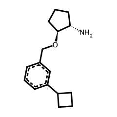 N[C@H]1CCC[C@@H]1OCc1cccc(C2CCC2)c1